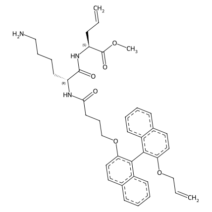 C=CCOc1ccc2ccccc2c1-c1c(OCCCC(=O)N[C@H](CCCCN)C(=O)N[C@@H](CC=C)C(=O)OC)ccc2ccccc12